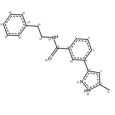 Cc1cc(-c2cccc(C(=O)NCCc3ccccc3)c2)n[nH]1